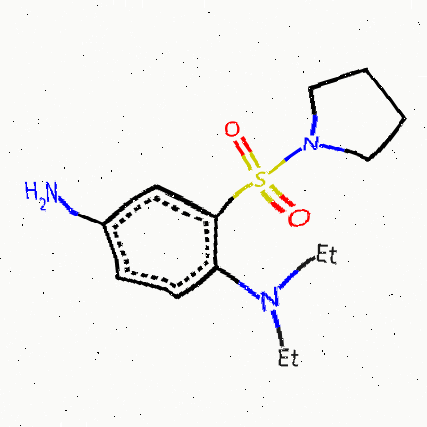 CCN(CC)c1ccc(N)cc1S(=O)(=O)N1CCCC1